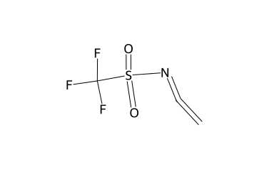 C=C=NS(=O)(=O)C(F)(F)F